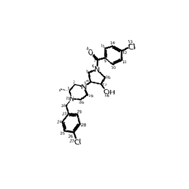 C[C@@H]1CN(C2CN(C(=O)c3ccc(Cl)cc3)CC2O)CCN1Cc1ccc(Cl)cc1